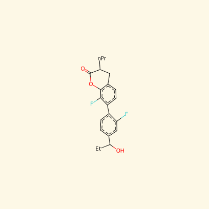 CCCC1Cc2ccc(-c3ccc(C(O)CC)cc3F)c(F)c2OC1=O